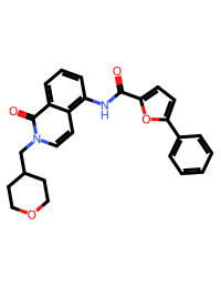 O=C(Nc1cccc2c(=O)n(CC3CCOCC3)ccc12)c1ccc(-c2ccccc2)o1